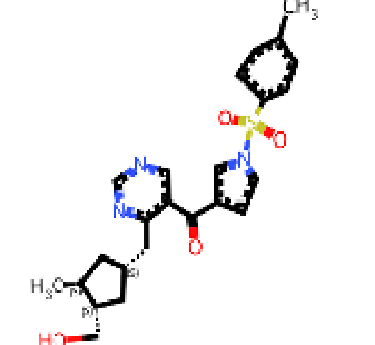 Cc1ccc(S(=O)(=O)n2ccc(C(=O)c3cncnc3C[C@@H]3C[C@H](CO)[C@@H](C)C3)c2)cc1